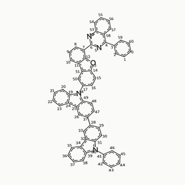 c1ccc(-c2nc(-c3cccc4c3oc3ccc(-n5c6ccccc6c6cc(-c7ccc8c(c7)c7ccccc7n8-c7ccccc7)ccc65)cc34)nc3ccccc23)cc1